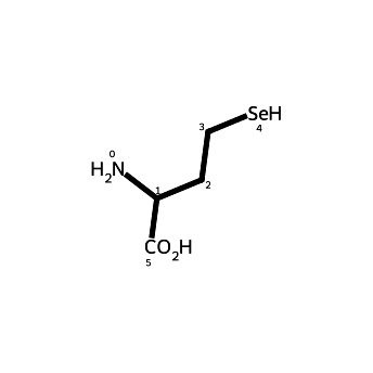 NC(CC[SeH])C(=O)O